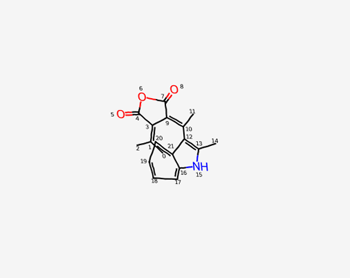 CC(C)=C1C(=O)OC(=O)/C1=C(\C)c1c(C)[nH]c2ccccc12